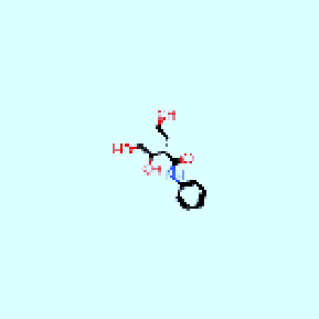 O=C(Nc1ccccc1)[C@@H](CCO)C(O)CO